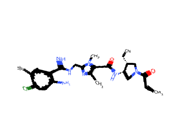 C=CC(=O)N1C[C@@H](CC#N)[C@@H](NC(=O)c2c(C)nc(CNC(=N)c3cc(C(C)(C)C)c(Cl)cc3N)n2C)C1